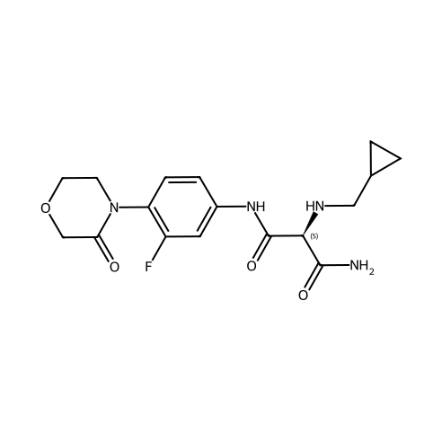 NC(=O)[C@H](NCC1CC1)C(=O)Nc1ccc(N2CCOCC2=O)c(F)c1